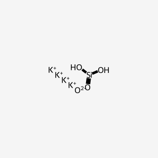 O=[Si](O)O.[K+].[K+].[K+].[K+].[O-2]